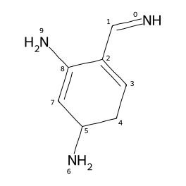 N=CC1=CCC(N)C=C1N